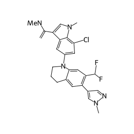 C=C(NC)c1cn(C)c2c(Cl)cc(N3CCCc4cc(-c5cnn(C)c5)c(C(F)F)cc43)cc12